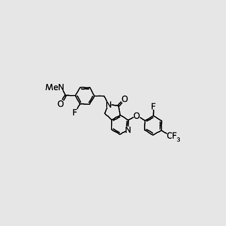 CNC(=O)c1ccc(CN2Cc3ccnc(Oc4ccc(C(F)(F)F)cc4F)c3C2=O)cc1F